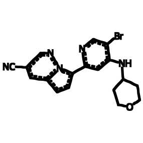 N#Cc1cnn2c(-c3cc(NC4CCOCC4)c(Br)cn3)ccc2c1